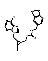 CC1C(COC(=O)NCc2ccc3c(c2)OCO3)C1Cn1cnc2c(N)ncnc21